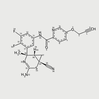 C#CCOc1ccc(C(=O)Nc2cc(F)c(F)c([C@@]3(C)N=C(N)S[C@@]4(C#N)C[C@H]43)c2)nc1